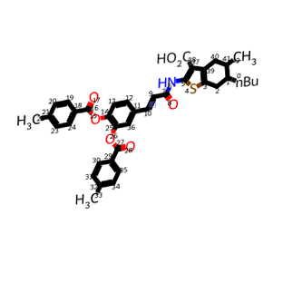 CCCCC1Cc2sc(NC(=O)/C=C/c3ccc(OC(=O)c4ccc(C)cc4)c(OC(=O)c4ccc(C)cc4)c3)c(C(=O)O)c2CC1C